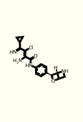 N=C(/C(Cl)=C(\N)C(=O)Nc1ccc([C@@H]2OC3CN[C@H]32)cc1)C1CC1